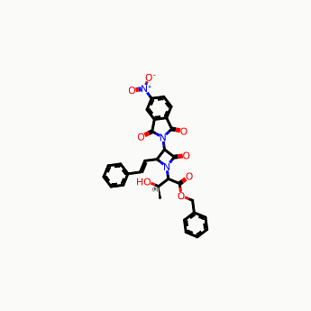 C[C@@H](O)C(C(=O)OCc1ccccc1)N1C(=O)C(N2C(=O)c3ccc([N+](=O)[O-])cc3C2=O)C1C=Cc1ccccc1